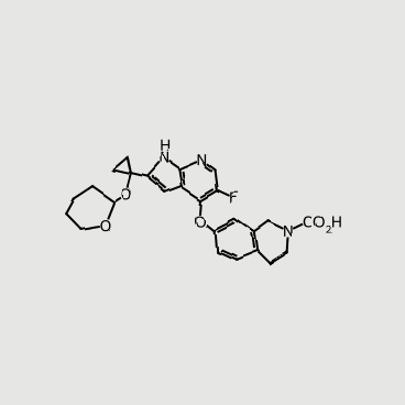 O=C(O)N1CCc2ccc(Oc3c(F)cnc4[nH]c(C5(OC6CCCCO6)CC5)cc34)cc2C1